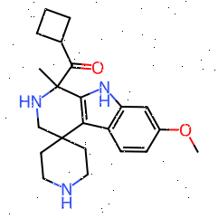 COc1ccc2c3c([nH]c2c1)C(C)(C(=O)C1CCC1)NCC31CCNCC1